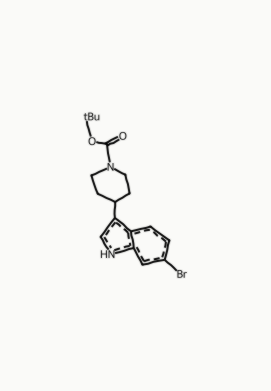 CC(C)(C)OC(=O)N1CCC(c2c[nH]c3cc(Br)ccc23)CC1